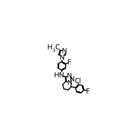 Cc1cn(-c2ccc(Nc3nnn4c3CCCC4c3ccc(F)cc3Cl)cc2F)cn1